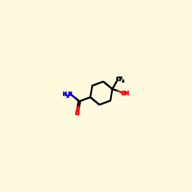 NC(=O)C1CCC(O)(C(F)(F)F)CC1